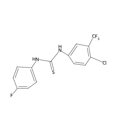 Fc1ccc(NC(=S)Nc2ccc(Cl)c(C(F)(F)F)c2)cc1